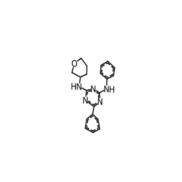 c1ccc(Nc2nc(NC3CCCOC3)nc(-c3ccccc3)n2)cc1